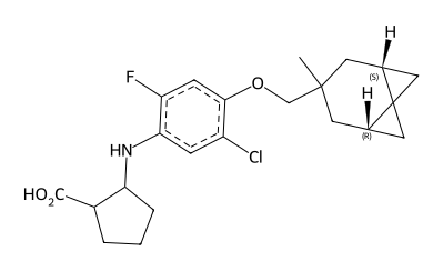 CC1(COc2cc(F)c(NC3CCCC3C(=O)O)cc2Cl)C[C@@H]2CC23C[C@@H]3C1